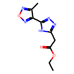 CCOC(=O)Cc1nnc(-c2nonc2C)[nH]1